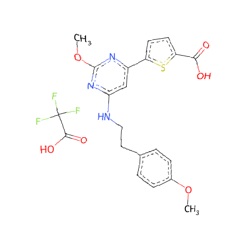 COc1ccc(CCNc2cc(-c3ccc(C(=O)O)s3)nc(OC)n2)cc1.O=C(O)C(F)(F)F